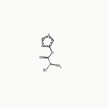 CCN(C)C(=O)Oc1cscn1